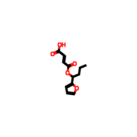 CCCC(OC(=O)/C=C/C(=O)O)c1ccco1